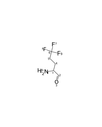 NC(C=O)CCC(F)(F)F